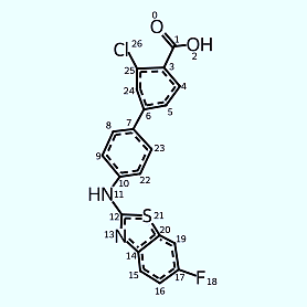 O=C(O)c1ccc(-c2ccc(Nc3nc4ccc(F)cc4s3)cc2)cc1Cl